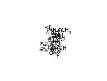 COc1cc(C(=O)NC[C@](O)(c2cccc(F)c2)c2cc3c(c(-c4cc(F)c(F)cc4C(N)=O)n2)OC[C@]3(C)C(N)=O)cc2cn(C3(F)CC3)nc12